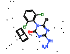 CCc1nc(NN)nc(=O)n1-c1c(Cl)cccc1Cl.c1cc2ccc1-2